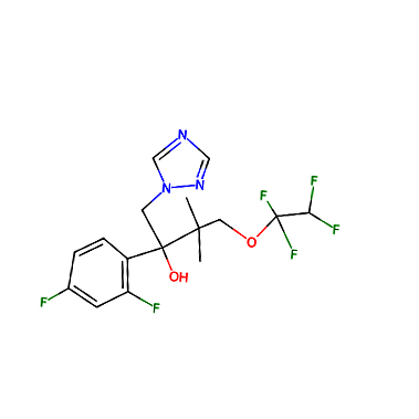 CC(C)(COC(F)(F)C(F)F)C(O)(Cn1cncn1)c1ccc(F)cc1F